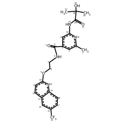 Cc1cc(C(=O)NCCOc2ccc3cc(C(F)(F)F)ccc3n2)cc(NC(=O)C(C)(C)O)n1